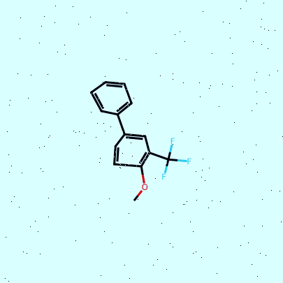 COc1ccc(-c2cc[c]cc2)cc1C(F)(F)F